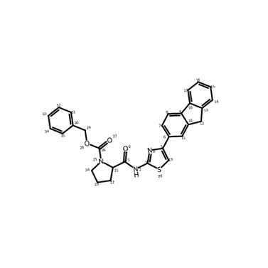 O=C(Nc1nc(-c2ccc3c(c2)Cc2ccccc2-3)cs1)C1CCCN1C(=O)OCc1ccccc1